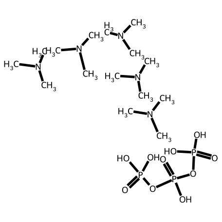 CN(C)C.CN(C)C.CN(C)C.CN(C)C.CN(C)C.O=P(O)(O)OP(=O)(O)OP(=O)(O)O